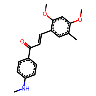 CNc1ccc(C(=O)/C=C/c2cc(C)c(OC)cc2OC)cc1